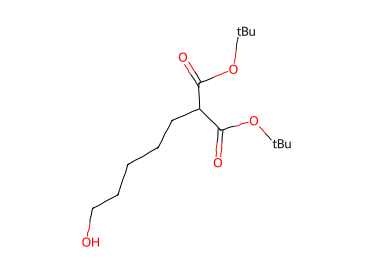 CC(C)(C)OC(=O)C(CCCCCO)C(=O)OC(C)(C)C